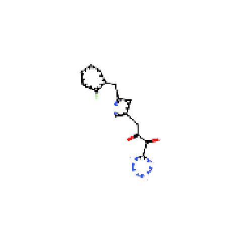 O=C(Cc1c[nH]c(Cc2ccccc2F)c1)C(=O)c1nn[nH]n1